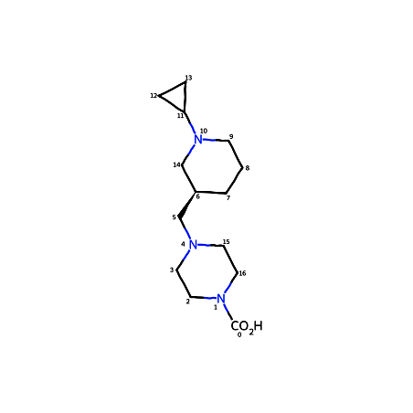 O=C(O)N1CCN(C[C@@H]2CCCN(C3CC3)C2)CC1